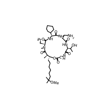 COC(C)(C)CCCCCC[C@H]1OC(=O)CNC(=O)[C@H](C(C)O)NC(=O)[C@H](CN)NC(=O)[C@H](C2CCCCC2)NC(=O)[C@H](CC(C)C)N(C)C(=O)[C@@H]1C